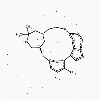 Cc1ccc2cc1-c1cnn3ccc(nc13)NCCN1C[C@@H](CNC(C)(C)C1)O2